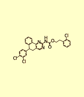 O=C(Nc1ncc2c(n1)-c1ccccc1C(c1ccc(Cl)c(Cl)c1)C2)OCCc1ccccc1Cl